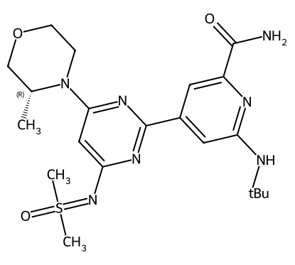 C[C@@H]1COCCN1c1cc(N=S(C)(C)=O)nc(-c2cc(NC(C)(C)C)nc(C(N)=O)c2)n1